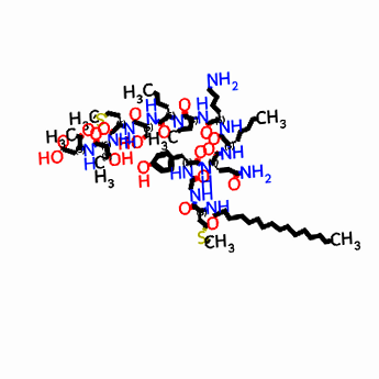 CCCCCCCCCCCCCCCC(=O)N[C@@H](CCSC)C(=O)NCC(=O)N[C@@H](Cc1ccc(O)cc1)C(=O)N[C@@H](CCC(N)=O)C(=O)N[C@@H](CCCCC)C(=O)N[C@@H](CCCCN)C(=O)N[C@H]1CC(C)N([C@@H](CCCC)C(=O)N[C@@H](CO)C(=O)N[C@@H](CCSC)C(=O)N[C@H](C(=O)N[C@@H](CC(=O)O)C(C)=O)[C@H](C)O)C1=O